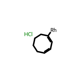 Cl.[Rh][C]1=CC=CCCCC1